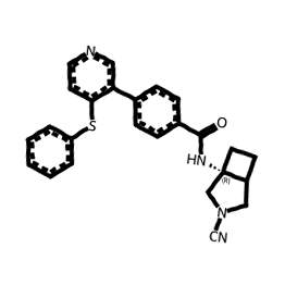 N#CN1CC2CC[C@]2(NC(=O)c2ccc(-c3cnccc3Sc3ccccc3)cc2)C1